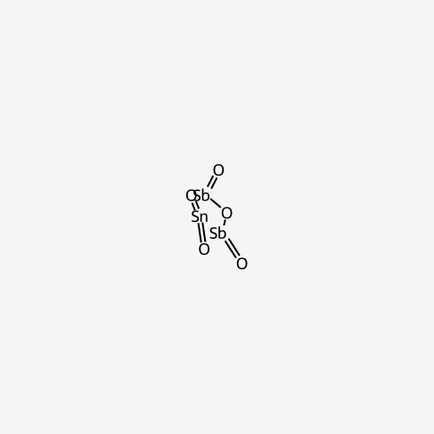 [O]=[Sb][O][Sb]=[O].[O]=[Sn]=[O]